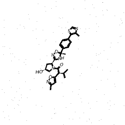 Cc1cc([C@@H](C(=O)N2C[C@H](O)C[C@H]2C2=NO[C@](C)(c3ccc(-c4scnc4C)cc3)N2)C(C)C)on1